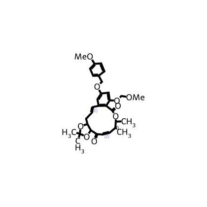 COCOc1cc(OCc2ccc(OC)cc2)cc2c1C(=O)OC(C)[C@H](C)/C=C\C(=O)C1OC(C)(C)OC1C/C=C/2